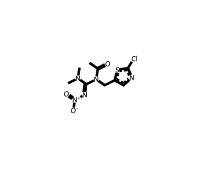 CC(=O)N(Cc1cnc(Cl)s1)C(=N[N+](=O)[O-])N(C)C